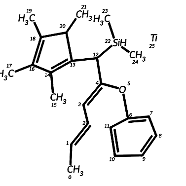 CC=CC=C(Oc1ccccc1)C(C1=C(C)C(C)=C(C)C1C)[SiH](C)C.[Ti]